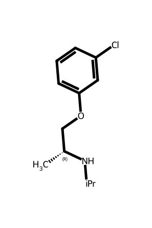 CC(C)N[C@H](C)COc1cccc(Cl)c1